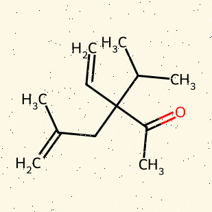 C=CC(CC(=C)C)(C(C)=O)C(C)C